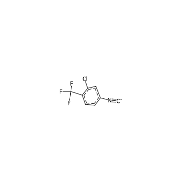 [C-]#[N+]c1ccc(C(F)(F)F)c(Cl)c1